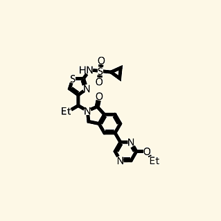 CCOc1cncc(-c2ccc3c(c2)CN(C(CC)c2csc(NS(=O)(=O)C4CC4)n2)C3=O)n1